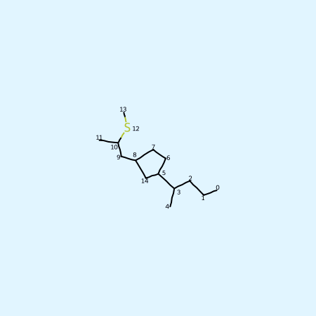 CCCC(C)C1CCC(CC(C)SC)C1